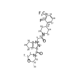 C[C@@H]1CN(C(=O)c2nn(CC(=O)N3CCC(c4cccc(C(F)(F)F)c4F)CC3)c3c2CCC3)C[C@H](C)O1